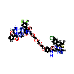 CN[C@@H](C)C(=O)N[C@H](C(=O)N1CCN(C(=O)c2c(C(=O)NCCOCCOCCOCCOc3ccc(NC(=O)C[C@@H]4N=C(c5ccc(Cl)cc5)c5c(sc(C)c5C)-n5c(C)nnc54)cc3)c3cc(F)c(F)cc3n2C)CC1)C1CCCCC1